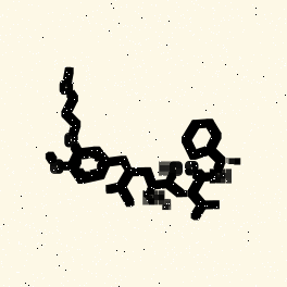 COCCCOc1cc(C[C@@H](C[C@H](N)[C@@H](O)C[C@H](C(=O)N[C@@H](C)C2CCCCC2)C(C)C)C(C)C)ccc1OC